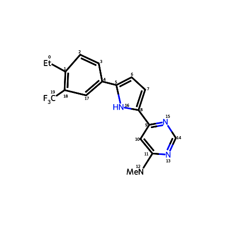 CCc1ccc(-c2ccc(-c3cc(NC)ncn3)[nH]2)cc1C(F)(F)F